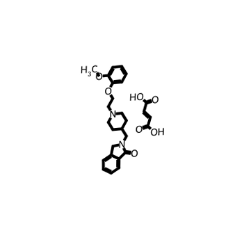 COc1ccccc1OCCN1CCC(CN2Cc3ccccc3C2=O)CC1.O=C(O)C=CC(=O)O